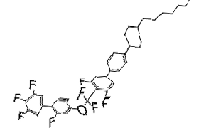 CCCCCCCC1CCC(c2ccc(-c3cc(F)c(C(F)(F)Oc4ccc(-c5cc(F)c(F)c(F)c5)c(F)c4)c(F)c3)cc2)CC1